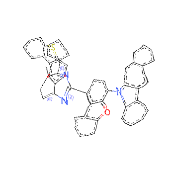 CC1C/C=C(c2ccc3sc4ccccc4c3c2)/N=C(c2ccc(-n3c4ccccc4c4cc5ccccc5cc43)c3oc4ccccc4c23)\N=C/1c1ccccc1